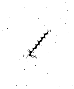 C=C(C)C(=O)OCCCCCCCCCCS